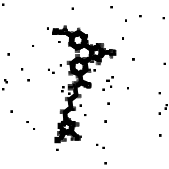 CCc1nc(-c2ccc(OC)cc2)n(-c2cccc(C(=O)NCCCCn3nc(Br)c(Br)n3)c2)n1